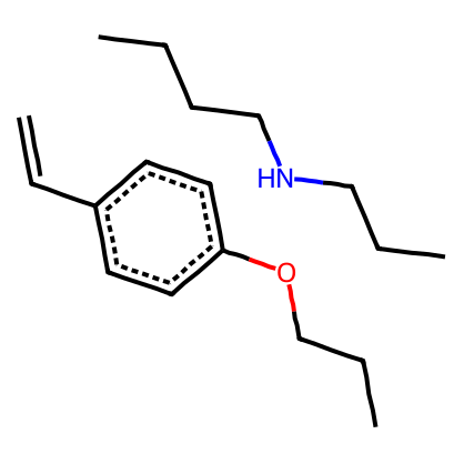 C=Cc1ccc(OCCC)cc1.CCCCNCCC